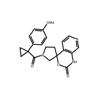 COc1ccc(C2(C(=O)N3CCC4(C3)OC(=O)Nc3cnccc34)CC2)cc1